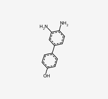 Nc1ccc(-c2ccc(O)cc2)cc1N